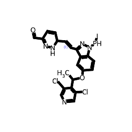 CC(Oc1ccc2c(c1)c(/C=C/C1C=CC(C=O)=NN1)nn2PI)c1c(Cl)cncc1Cl